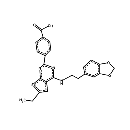 CCc1cc2c(NCCc3ccc4c(c3)OCO4)nc(-c3ccc(C(=O)O)cc3)nc2s1